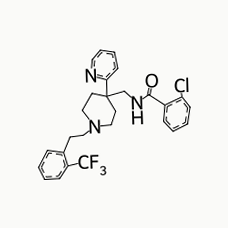 O=C(NCC1(c2ccccn2)CCN(CCc2ccccc2C(F)(F)F)CC1)c1ccccc1Cl